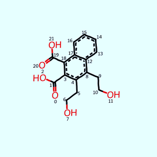 O=C(O)c1c(CCO)c(CCO)c2ccccc2c1C(=O)O